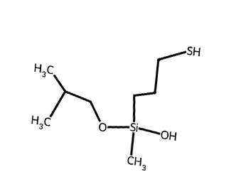 CC(C)CO[Si](C)(O)CCCS